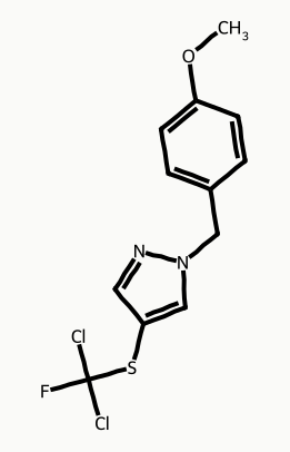 COc1ccc(Cn2cc(SC(F)(Cl)Cl)cn2)cc1